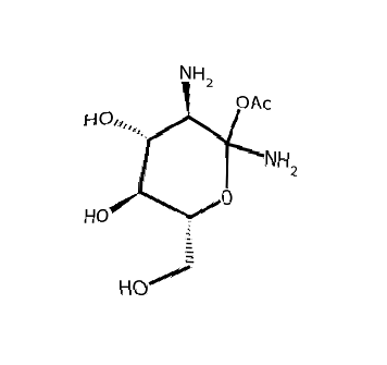 CC(=O)OC1(N)O[C@H](CO)[C@@H](O)[C@H](O)[C@H]1N